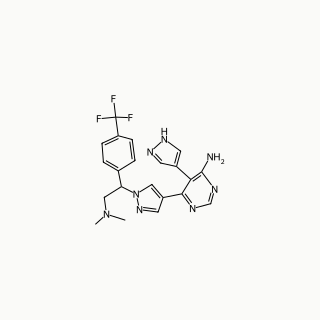 CN(C)CC(c1ccc(C(F)(F)F)cc1)n1cc(-c2ncnc(N)c2-c2cn[nH]c2)cn1